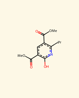 COC(=O)c1cc(C(=O)OC)c(C(C)C)nc1O